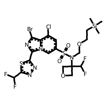 C[Si](C)(C)CCOCN(C1(C(F)F)COC1)S(=O)(=O)c1cc(Cl)c2c(Br)nc(-c3nnc(C(F)F)s3)n2c1